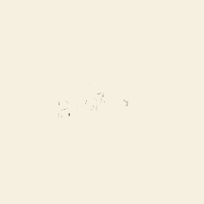 C[Si](C)(C)CCOCn1nc(C2CC2)c2cc(OCc3c(F)ccc(N)c3F)cnc21